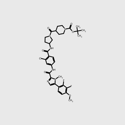 COc1ccc(-c2cnc(C(=O)Nc3ccc(C(=O)NC4CCN(C(=O)C5CCN(C(=O)OC(C)(C)C)CC5)C4)c(Cl)c3)n2C)c(F)c1F